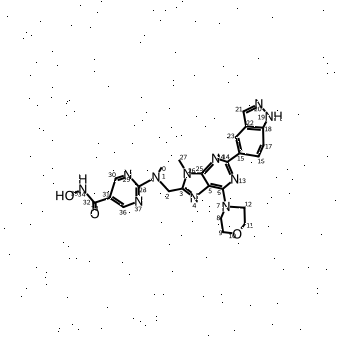 CN(Cc1nc2c(N3CCOCC3)nc(-c3ccc4[nH]ncc4c3)nc2n1C)c1ncc(C(=O)NO)cn1